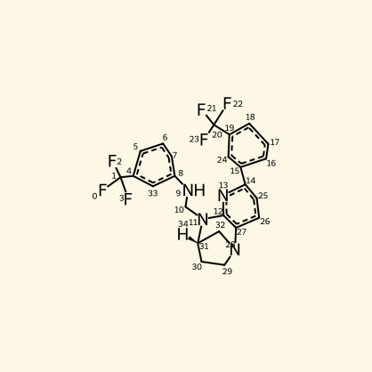 FC(F)(F)c1cccc(NCN2c3nc(-c4cccc(C(F)(F)F)c4)ccc3N3CC[C@H]2C3)c1